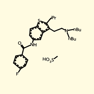 CCCCN(CCCC)CCc1c(C(C)C)sc2ccc(NC(=O)c3ccc(F)cc3)cc12.CS(=O)(=O)O